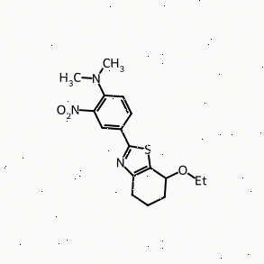 CCOC1CCCc2nc(-c3ccc(N(C)C)c([N+](=O)[O-])c3)sc21